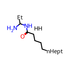 CCCCCCCCCCCC(=O)NC(N)CC.[HH]